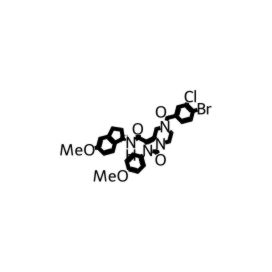 COc1ccc(-n2c(C(=O)N[C@H]3CCc4cc(OC)ccc43)c3n(c2=O)CCN(C(=O)c2ccc(Br)c(Cl)c2)C3)cc1